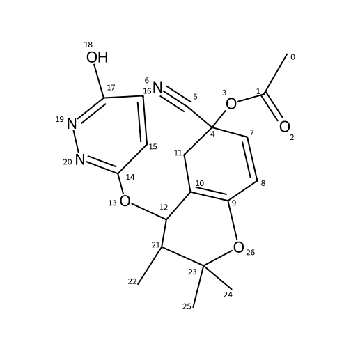 CC(=O)OC1(C#N)C=CC2=C(C1)C(Oc1ccc(O)nn1)C(C)C(C)(C)O2